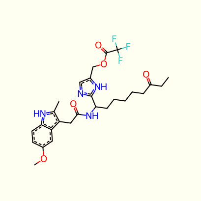 CCC(=O)CCCCCC(NC(=O)Cc1c(C)[nH]c2ccc(OC)cc12)c1ncc(COC(=O)C(F)(F)F)[nH]1